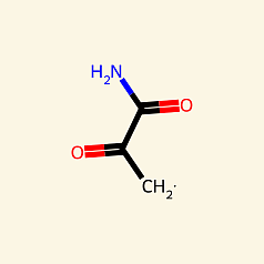 [CH2]C(=O)C(N)=O